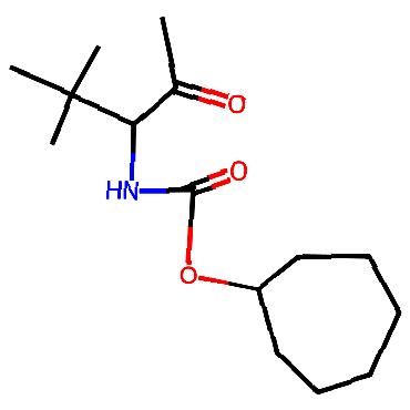 CC(=O)C(NC(=O)OC1CCCCCC1)C(C)(C)C